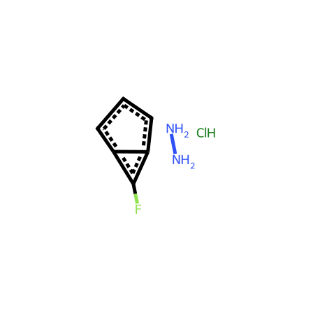 Cl.Fc1c2cccc1-2.NN